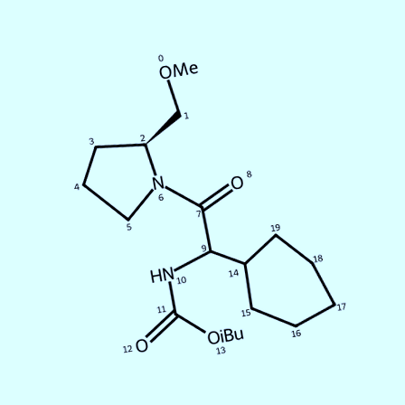 COC[C@@H]1CCCN1C(=O)C(NC(=O)OCC(C)C)C1CCCCC1